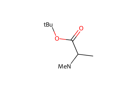 CNC(C)C(=O)OC(C)(C)C